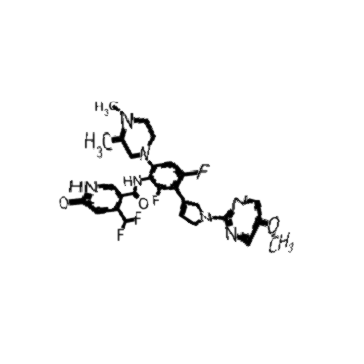 COc1cnc(N2CC=C(c3c(F)cc(N4CCN(C)C(C)C4)c(NC(=O)c4c[nH]c(=O)cc4C(F)F)c3F)C2)nc1